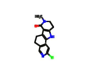 O=C(O)N1CCc2[nH]c3c(c2C1=O)CCc1cnc(Cl)cc1-3